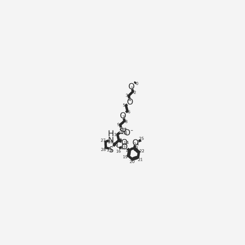 COCCOCCOCC[S@+]([O-])CC(=O)[C@]1(COc2ccccc2OC)NCCS1